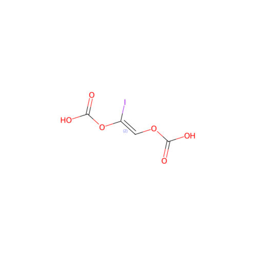 O=C(O)O/C=C(\I)OC(=O)O